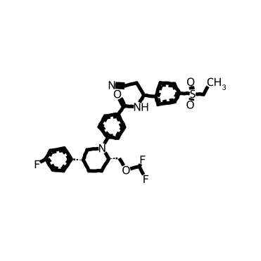 CCS(=O)(=O)c1ccc(C(CC#N)NC(=O)c2ccc(N3C[C@@H](c4ccc(F)cc4)CC[C@H]3COC(F)F)cc2)cc1